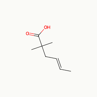 C/C=C/CC(C)(C)C(=O)O